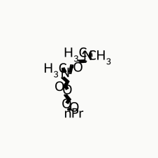 CCCC(=O)OCCOC(=O)CCN(C)CCOCCN(C)C